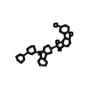 Clc1ccc2oc3ccc4nc(-c5ccc6c(c5)c5ccccc5n6-c5cccc(-c6ccccc6)c5)oc4c3c2c1